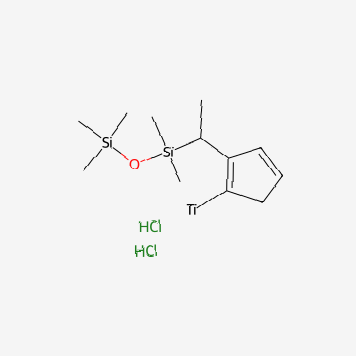 CC(C1=[C]([Ti])CC=C1)[Si](C)(C)O[Si](C)(C)C.Cl.Cl